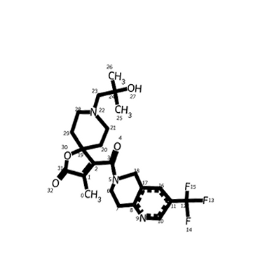 CC1=C(C(=O)N2CCc3ncc(C(F)(F)F)cc3C2)C2(CCN(CC(C)(C)O)CC2)OC1=O